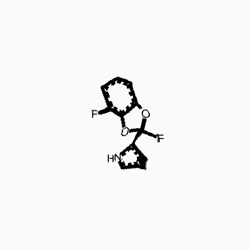 Fc1cccc2c1OC(F)(c1ccc[nH]1)O2